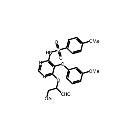 COc1ccc(S(=O)(=O)Nc2ncnc(OC(C=O)COC(C)=O)c2Oc2cccc(OC)c2)cc1